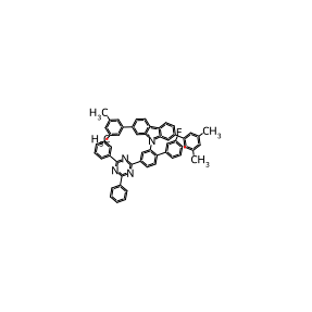 Cc1cc(C)cc(-c2ccc3c4ccc(-c5cc(C)cc(C)c5)cc4n(-c4cc(-c5nc(-c6ccccc6)nc(-c6ccccc6)n5)ccc4-c4cccc(F)c4)c3c2)c1